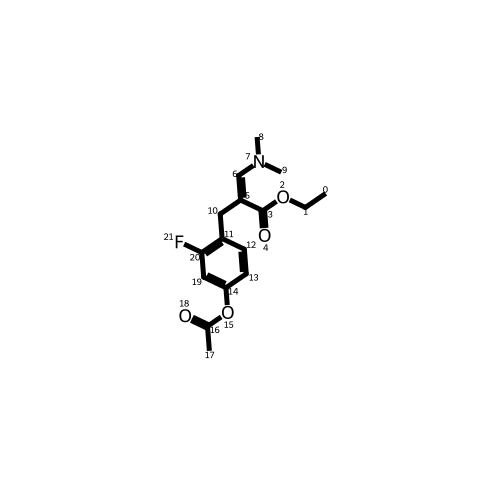 CCOC(=O)C(=CN(C)C)Cc1ccc(OC(C)=O)cc1F